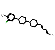 CC=CC=CC1CCC(C2CCC(c3ccc(C(F)(F)F)c(F)c3)CC2)CC1